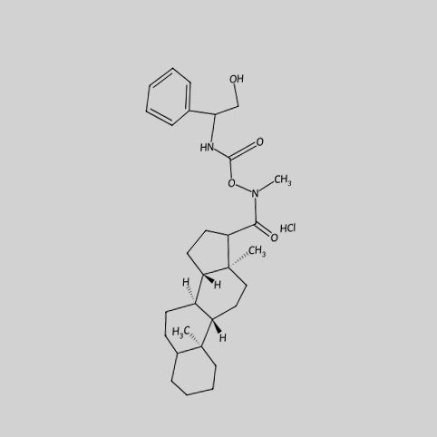 CN(OC(=O)NC(CO)c1ccccc1)C(=O)C1CC[C@H]2[C@@H]3CCC4CCCC[C@]4(C)[C@H]3CC[C@]12C.Cl